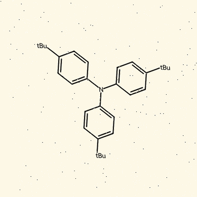 CC(C)(C)c1ccc(N(c2ccc(C(C)(C)C)cc2)c2ccc(C(C)(C)C)cc2)cc1